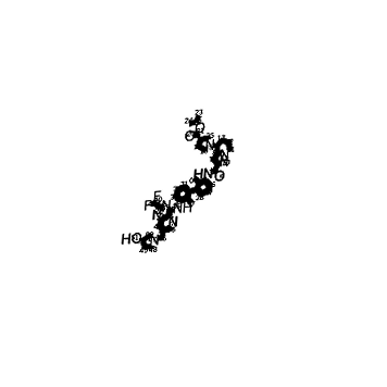 Cc1c(NC(=O)c2cc3n(n2)CCC[C@H]3N2CC[C@@H](C(=O)OC(C)C)C2)cccc1-c1cccc(Nc2nc(C(F)F)nc3cc(CN4CC[C@@H](O)C4)cnc23)c1C